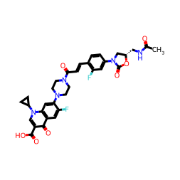 CC(=O)NC[C@H]1CN(c2ccc(/C=C/C(=O)N3CCN(c4cc5c(cc4F)c(=O)c(C(=O)O)cn5C4CC4)CC3)c(F)c2)C(=O)O1